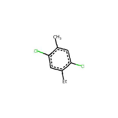 CCc1cc(Cl)c(C)cc1Cl